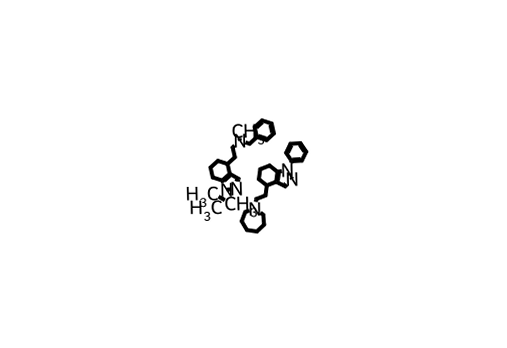 CN(CCC1CCCc2c1cnn2C(C)(C)C)Cc1ccccc1.c1ccc(-n2ncc3c2CCCC3CCN2CCCCCC2)cc1